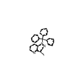 Ic1nn(C(c2ccccc2)(c2ccccc2)c2ccccc2)c2cccnc12